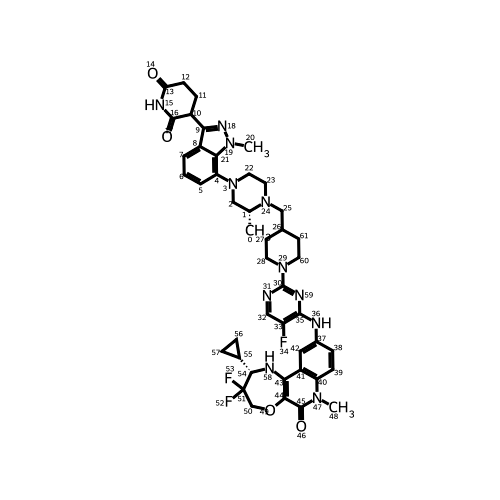 C[C@@H]1CN(c2cccc3c(C4CCC(=O)NC4=O)nn(C)c23)CCN1CC1CCN(c2ncc(F)c(Nc3ccc4c(c3)c3c(c(=O)n4C)OCC(F)(F)[C@H](C4CC4)N3)n2)CC1